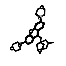 CC1CC2(Cc3c4ccc(=[N+]5CCOCC5)cc-4oc4cc(N5CCOCC5)ccc34)CC3CC3(C1)C2